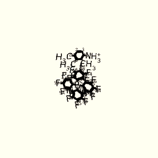 Cc1ccc([NH3+])c(C)c1C.Fc1c(F)c(F)c([B-](c2c(F)c(F)c(F)c(F)c2F)(c2c(F)c(F)c(F)c(F)c2F)c2c(F)c(F)c(F)c(F)c2F)c(F)c1F